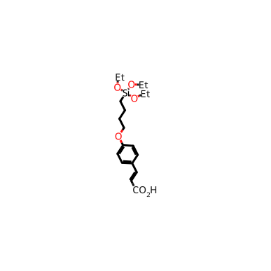 CCO[Si](CCCCOc1ccc(C=CC(=O)O)cc1)(OCC)OCC